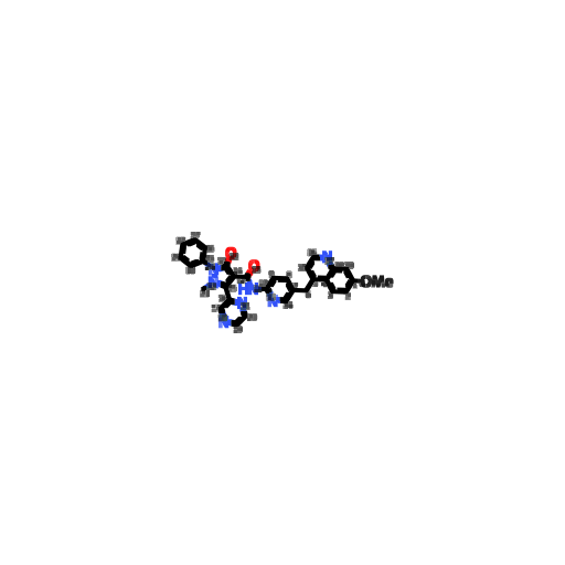 COc1ccc2c(Cc3ccc(NC(=O)c4c(-c5cnccn5)n(C)n(-c5ccccc5)c4=O)nc3)ccnc2c1